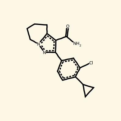 NC(=O)c1c(-c2ccc(C3CC3)c(Cl)c2)nn2c1CCCC2